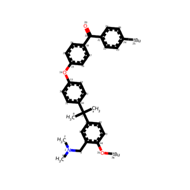 CN(C)Cc1cc(C(C)(C)c2ccc(Oc3ccc(C(=O)c4ccc(C(C)(C)C)cc4)cc3)cc2)ccc1OC(C)(C)C